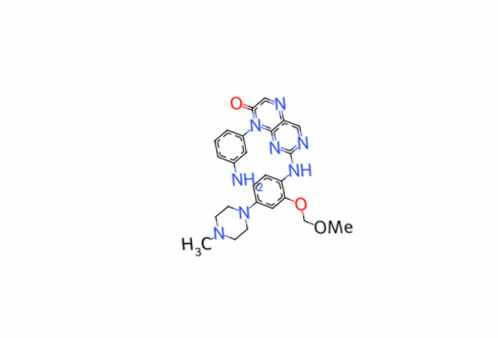 COCOc1cc(N2CCN(C)CC2)ccc1Nc1ncc2ncc(=O)n(-c3cccc(N)c3)c2n1